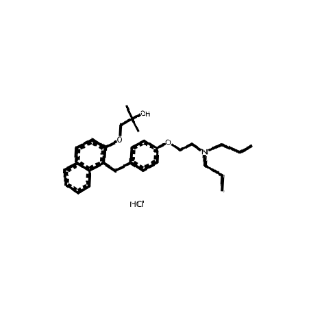 CCCN(CCC)CCOc1ccc(Cc2c(OCC(C)(C)O)ccc3ccccc23)cc1.Cl